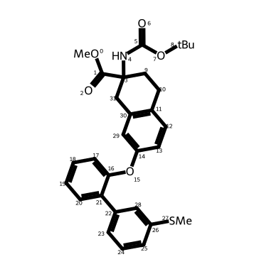 COC(=O)C1(NC(=O)OC(C)(C)C)CCc2ccc(Oc3ccccc3-c3cccc(SC)c3)cc2C1